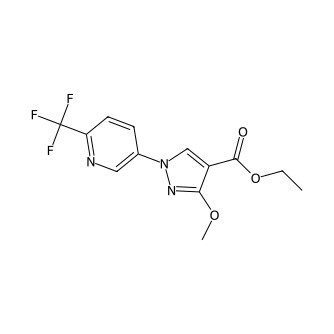 CCOC(=O)c1cn(-c2ccc(C(F)(F)F)nc2)nc1OC